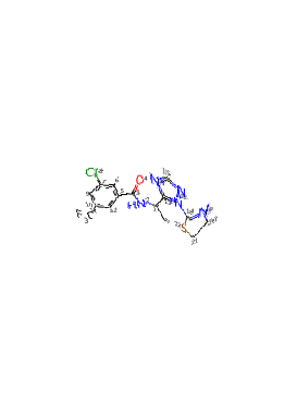 CC(NC(=O)c1cc(Cl)cc(C(F)(F)F)c1)c1ncnn1C1=NCCS1